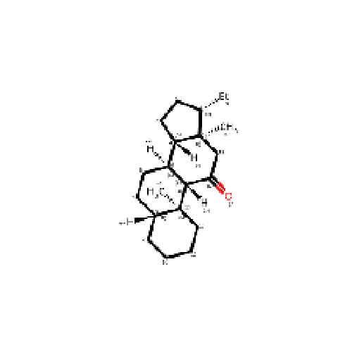 CC[C@H]1CC[C@H]2[C@@H]3CC[C@H]4CCCC[C@]4(C)[C@H]3C(=O)C[C@]12C